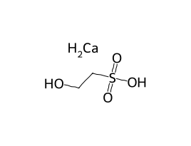 O=S(=O)(O)CCO.[CaH2]